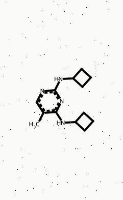 Cc1cnc(NC2CCC2)nc1NC1CCC1